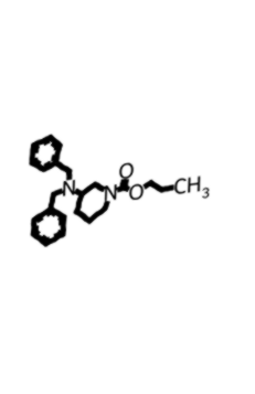 CCCOC(=O)N1CCCC(N(Cc2ccccc2)Cc2ccccc2)C1